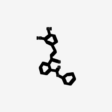 O=C(C=Cc1ccc(O)c(O)c1)c1ccccc1C(=O)Oc1ccccc1